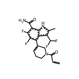 C=CC(=O)N1CCC=C(c2c(F)c(F)c(C(N)=O)c3[nH]c(C)c(C(F)F)c23)C1